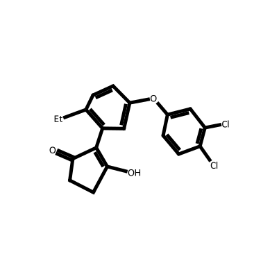 CCc1ccc(Oc2ccc(Cl)c(Cl)c2)cc1C1=C(O)CCC1=O